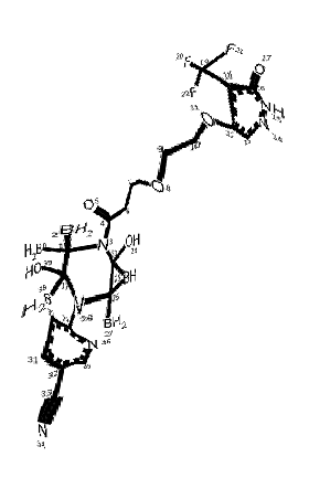 BC1(B)N(C(=O)CCOCCOc2cn[nH]c(=O)c2C(F)(F)F)C2(O)BC2(B)N(c2ccc(C#N)cn2)C1(B)O